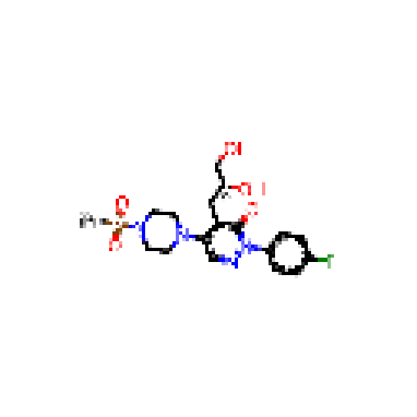 CC(C)S(=O)(=O)N1CCN(c2cnn(-c3ccc(F)cc3)c(=O)c2C[C@H](O)CO)CC1